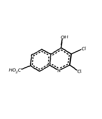 O=C(O)c1ccc2c(O)c(Cl)c(Cl)nc2c1